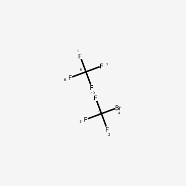 FC(F)(F)Br.FC(F)(F)F